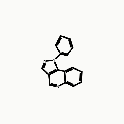 c1ccc(-n2ncc3cnc4ccccc4c32)cc1